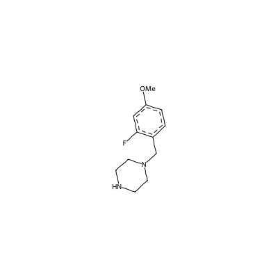 COc1ccc(CN2CCNCC2)c(F)c1